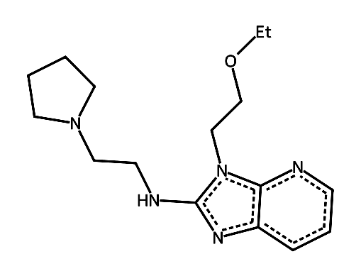 CCOCCn1c(NCCN2CCCC2)nc2cccnc21